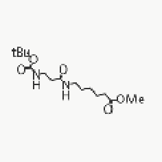 COC(=O)CCCCCNC(=O)CCNC(=O)OC(C)(C)C